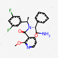 COc1ncccc1C(=O)N([C@H](C)c1cc(F)cc(F)c1)[C@@H](C(N)=O)c1ccccc1